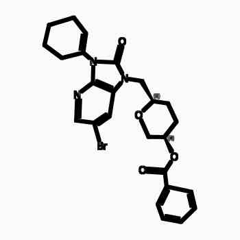 O=C(O[C@@H]1CC[C@H](Cn2c(=O)n(C3=CCCCC3)c3ncc(Br)cc32)OC1)c1ccccc1